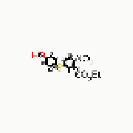 CCOC(=O)Cc1cc(Sc2ccc(O)cc2)ccc1[N+](=O)[O-]